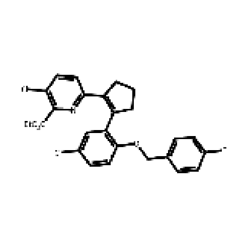 CCOC(=O)c1nc(C2=C(c3cc(Cl)ccc3OCc3ccc(F)cc3)CCC2)ccc1Cl